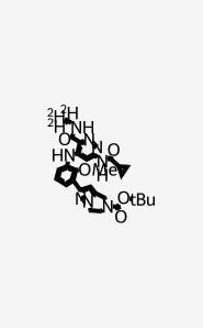 [2H]C([2H])([2H])NC(=O)c1nnc(NC(=O)C2CC2)cc1Nc1cccc(-c2cc3n(n2)CCN(C(=O)OC(C)(C)C)C3)c1OC